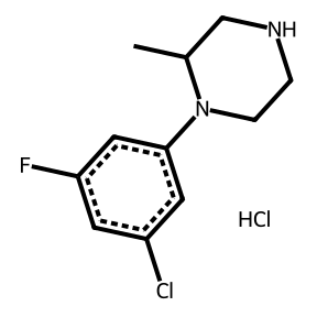 CC1CNCCN1c1cc(F)cc(Cl)c1.Cl